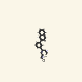 C\C=C/C(=C\C=C\Cl)c1cccc(-c2ccc3ccccc3c2)c1